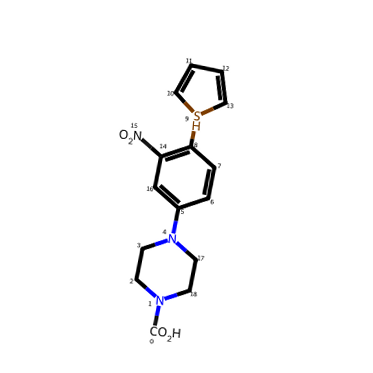 O=C(O)N1CCN(c2ccc([SH]3C=CC=C3)c([N+](=O)[O-])c2)CC1